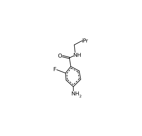 CC(C)CNC(=O)c1ccc(N)cc1F